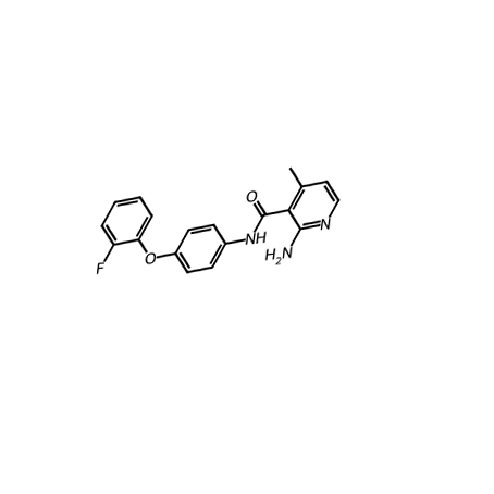 Cc1ccnc(N)c1C(=O)Nc1ccc(Oc2ccccc2F)cc1